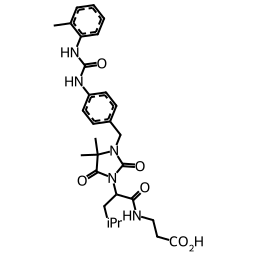 Cc1ccccc1NC(=O)Nc1ccc(CN2C(=O)N(C(CC(C)C)C(=O)NCCC(=O)O)C(=O)C2(C)C)cc1